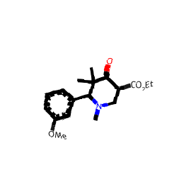 CCOC(=O)C1CN(C)C(c2cccc(OC)c2)C(C)(C)C1=O